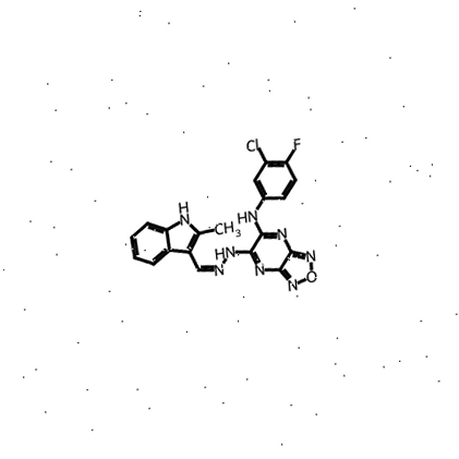 Cc1[nH]c2ccccc2c1/C=N\Nc1nc2nonc2nc1Nc1ccc(F)c(Cl)c1